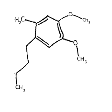 [CH2]c1cc(OC)c(OC)cc1CC[CH]C